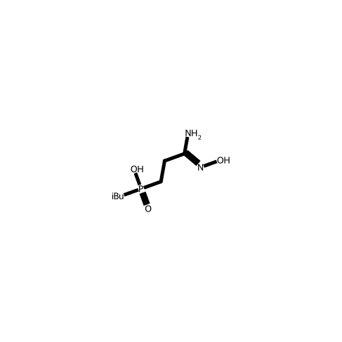 CCC(C)P(=O)(O)CCC(N)=NO